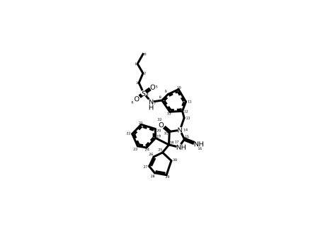 CCCCS(=O)(=O)Nc1cccc(CN2C(=N)NC(c3ccccc3)(C3C=CC=CC3)C2=O)c1